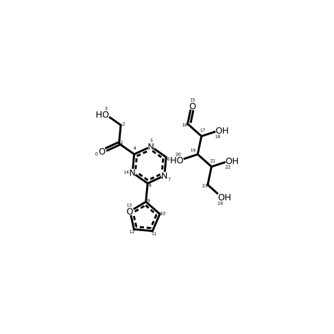 O=C(CO)c1ncnc(-c2ccco2)n1.O=CC(O)C(O)C(O)CO